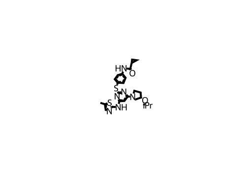 Cc1cnc(Nc2cc(N3CC[C@H](OC(C)C)C3)nc(Sc3ccc(NC(=O)C4CC4)cc3)n2)s1